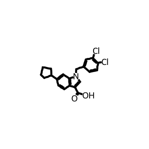 O=C(O)c1cn(Cc2ccc(Cl)c(Cl)c2)c2cc(C3CCCC3)ccc12